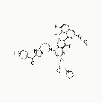 CCc1c(F)ccc2cc(OCOC)cc(-c3ncc4c(N5CCCn6nc(C(=O)N7CCNCC7)cc6C5)nc(OCC5(CN6CCCC6)CC5)nc4c3F)c12